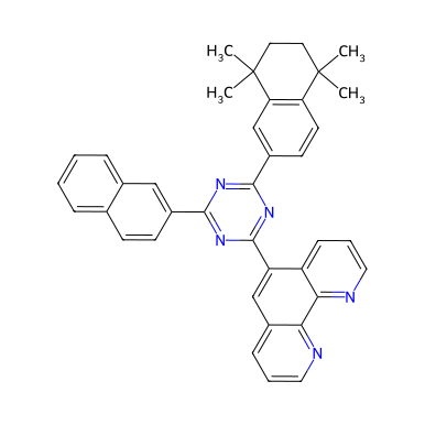 CC1(C)CCC(C)(C)c2cc(-c3nc(-c4ccc5ccccc5c4)nc(-c4cc5cccnc5c5ncccc45)n3)ccc21